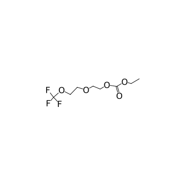 CCOC(=O)OCCOCCOC(F)(F)F